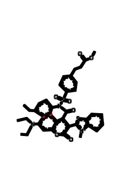 CCc1ccc(N(C(=O)c2c(-c3sc4ccccc4[n+]3C)c(=O)oc3cc(N(CC)CC)ccc23)S(=O)(=O)c2ccc(CCC(=O)OC)cc2)cc1